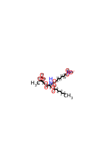 CCCCCCC(=O)OCC(NC(=O)OCCCCCCO[N+](=O)[O-])C(=O)OCc1oc(=O)oc1C